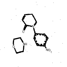 C1COCCN1.O=C1C=CCCN1c1ccc([N+](=O)[O-])cc1